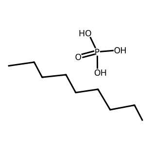 CCCCCCCCC.O=P(O)(O)O